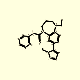 CCN1CCCN(C(=O)Nc2cnccn2)c2nc(-c3ccnn3C)ccc21